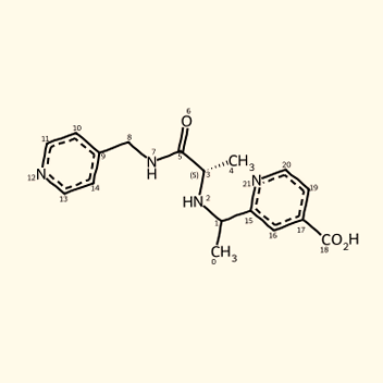 CC(N[C@@H](C)C(=O)NCc1ccncc1)c1cc(C(=O)O)ccn1